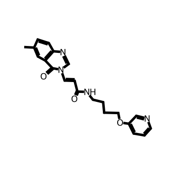 Cc1ccc2ncn(C=CC(=O)NCCCCOc3cccnc3)c(=O)c2c1